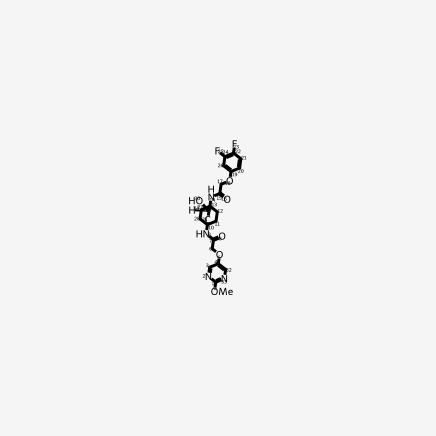 COc1ncc(OCC(=O)NC23CCC(NC(=O)COc4ccc(F)c(F)c4)(CC2)[C@@H](O)C3)cn1